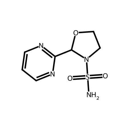 NS(=O)(=O)N1CCOC1c1ncccn1